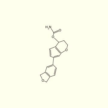 NC(=O)OC1CCOc2cc(-c3ccc4c(c3)COC4)ccc21